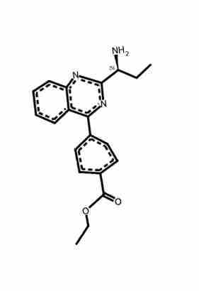 CCOC(=O)c1ccc(-c2nc([C@@H](N)CC)nc3ccccc23)cc1